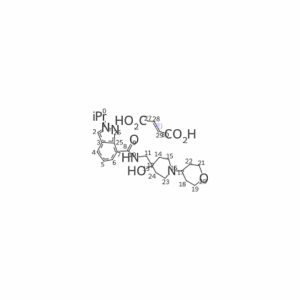 CC(C)n1cc2cccc(C(=O)NCC3(O)CCN(C4CCOCC4)CC3)c2n1.O=C(O)/C=C/C(=O)O